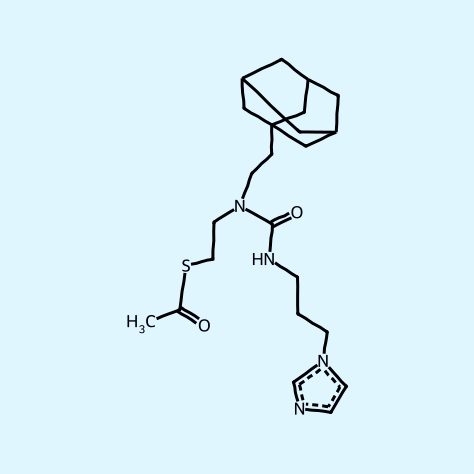 CC(=O)SCCN(CCC12CC3CC(CC(C3)C1)C2)C(=O)NCCCn1ccnc1